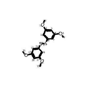 COc1cc(OC)cc(SSc2cc(OC)cc(OC)c2)c1